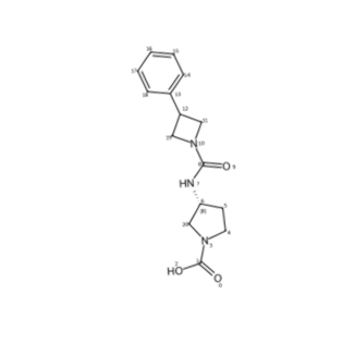 O=C(O)N1CC[C@@H](NC(=O)N2CC(c3ccccc3)C2)C1